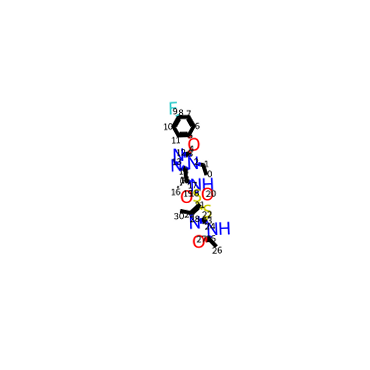 CCn1c(Oc2ccc(F)cc2)nnc1[C@@H](C)NS(=O)(=O)c1sc(NC(C)=O)nc1C